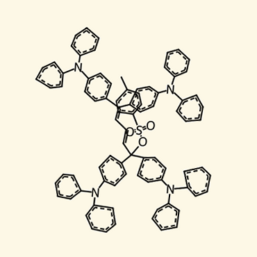 Cc1ccc(S(=O)(=O)OC(C=CC=C(c2ccc(N(c3ccccc3)c3ccccc3)cc2)c2ccc(N(c3ccccc3)c3ccccc3)cc2)(c2ccc(N(c3ccccc3)c3ccccc3)cc2)c2ccc(N(c3ccccc3)c3ccccc3)cc2)cc1